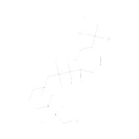 CCC(C)(C)C1CCCC(S)(C(F)(F)C(F)(F)CC23CCCC(C(C)(C)CC)(C2)S3)CC1